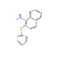 CNc1c(Oc2ccccc2)ccc2ccccc12